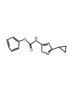 O=C(Nc1nc(C2CC2)ns1)Oc1ccccc1